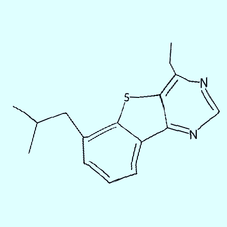 Cc1ncnc2c1sc1c(CC(C)C)cccc12